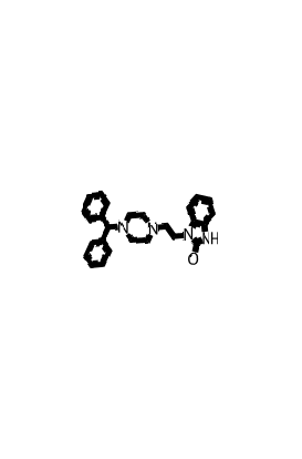 O=c1[nH]c2ccccc2n1CCN1CCN(C(c2ccccc2)c2ccccc2)CC1